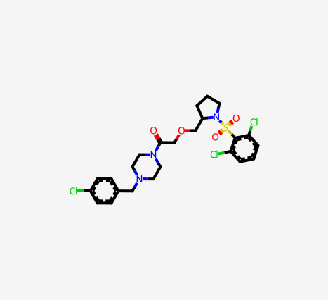 O=C(COCC1CCCN1S(=O)(=O)c1c(Cl)cccc1Cl)N1CCN(Cc2ccc(Cl)cc2)CC1